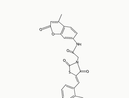 Cc1ccccc1/C=C1\SC(=O)N(CC(=O)Nc2ccc3c(C)cc(=O)oc3c2)C1=O